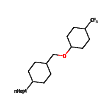 CCCCCCCC1CCC(COC2CCC(C(F)(F)F)CC2)CC1